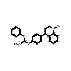 CN1CCC(c2ccc(OC(Oc3ccccc3)C(=O)O)cc2)c2ccccc21